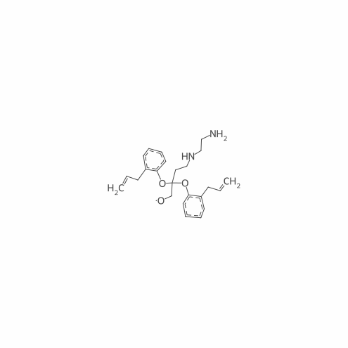 C=CCc1ccccc1OC(C[O])(CCNCCN)Oc1ccccc1CC=C